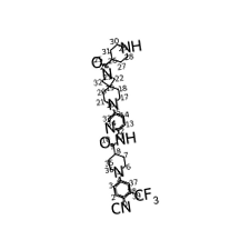 N#Cc1ccc(N2CCC(C(=O)Nc3ccc(N4CCC5(CC4)CN(C(=O)C4CCNCC4)C5)cn3)CC2)cc1C(F)(F)F